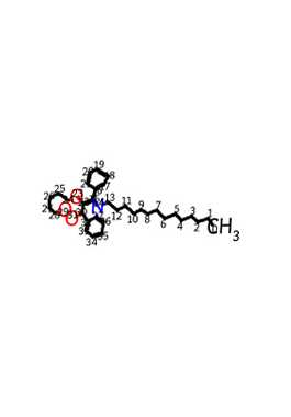 CCCCCCCCCCCCCCn1c(-c2ccccc2)c(OC2CCCCO2)c(=O)c2ccccc21